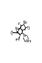 N#Cc1c(Cl)nc2c(F)c(Br)c(Cl)cc2c1N1CCNCC1